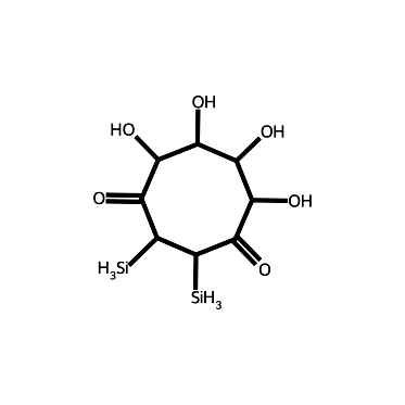 O=C1C(O)C(O)C(O)C(O)C(=O)C([SiH3])C1[SiH3]